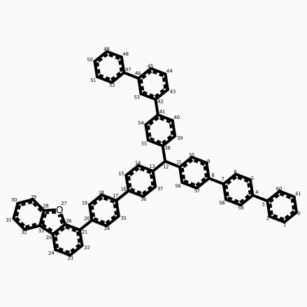 c1ccc(-c2ccc(-c3ccc(C(c4ccc(-c5ccc(-c6cccc7c6oc6ccccc67)cc5)cc4)c4ccc(-c5cccc(-c6ccccc6)c5)cc4)cc3)cc2)cc1